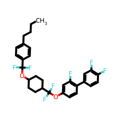 CCCCc1ccc(C(F)(F)OC2CCC(C(F)(F)Oc3ccc(-c4ccc(F)c(F)c4)c(F)c3)CC2)cc1